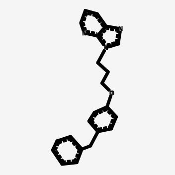 c1ccc(Cc2ccc(OCCCn3cnc4cccnc43)cc2)cc1